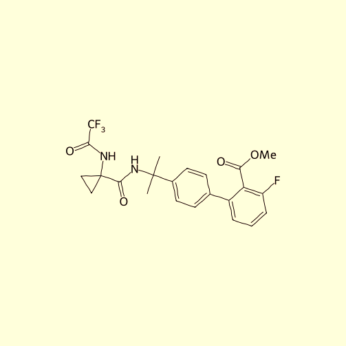 COC(=O)c1c(F)cccc1-c1ccc(C(C)(C)NC(=O)C2(NC(=O)C(F)(F)F)CC2)cc1